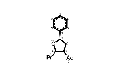 CC(=O)C1C[C@H](c2ccccc2)O[C@@H]1C(C)C